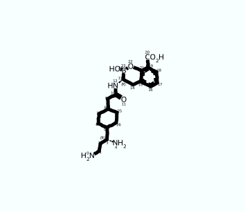 NCC[C@@H](N)C1CCC(CC(=O)N[C@H]2Cc3cccc(C(=O)O)c3OB2O)CC1